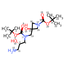 CC(C)(C)OC(=O)N(C[C@@H](O)CN)CC1(O)CN(C(=O)OC(C)(C)C)C1